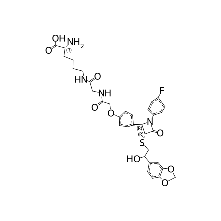 N[C@H](CCCCNC(=O)CNC(=O)COc1ccc([C@@H]2[C@@H](SCC(O)c3ccc4c(c3)OCO4)C(=O)N2c2ccc(F)cc2)cc1)C(=O)O